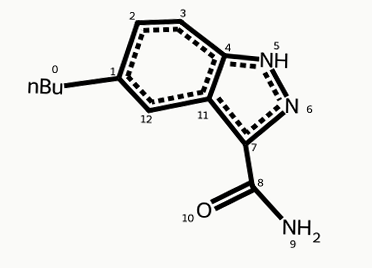 CCCCc1ccc2[nH]nc(C(N)=O)c2c1